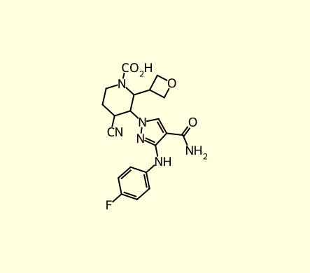 N#CC1CCN(C(=O)O)C(C2COC2)C1n1cc(C(N)=O)c(Nc2ccc(F)cc2)n1